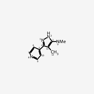 CNc1[nH]nc(-c2ccncc2)c1C